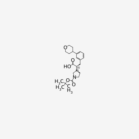 CC(C)(C)OC(=O)N1CC[C@H]([C@H](Cc2cccc(C3CCOCC3)c2)C(=O)O)C1